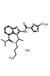 CC(CCCCN)n1c(NC(=O)c2csc(C(=O)O)n2)nc2cccc(C(=O)N(C)C)c21.Cl